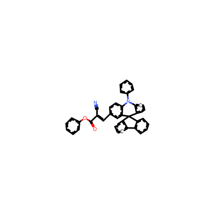 N#C/C(=C\c1ccc2c(c1)C1(c3ccccc3-c3ccccc31)c1ccccc1N2c1ccccc1)C(=O)Oc1ccccc1